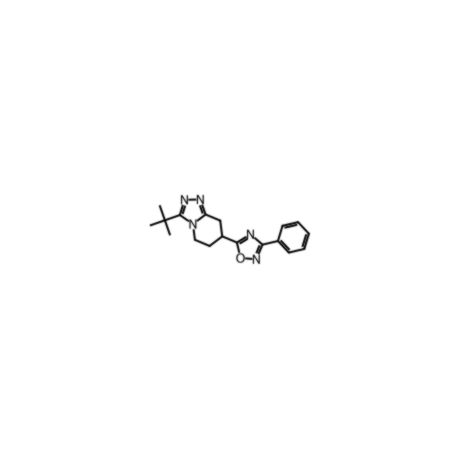 CC(C)(C)c1nnc2n1CCC(c1nc(-c3ccccc3)no1)C2